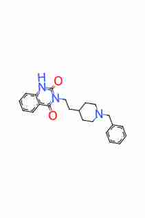 O=c1[nH]c2ccccc2c(=O)n1CCC1CCN(Cc2ccccc2)CC1